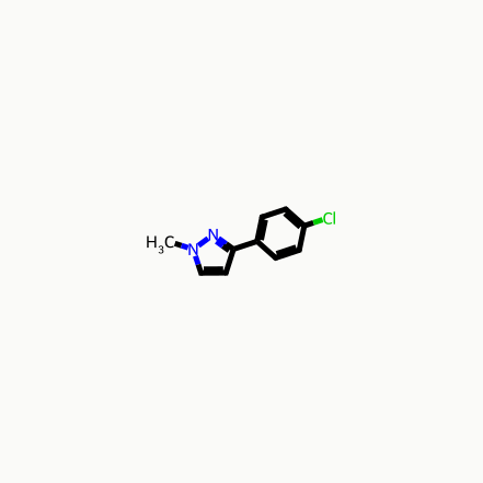 Cn1ccc(-c2ccc(Cl)cc2)n1